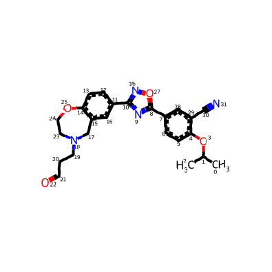 CC(C)Oc1ccc(-c2nc(-c3ccc4c(c3)CN(CCC=O)CCO4)no2)cc1C#N